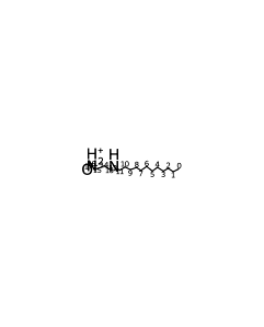 CCCCCCCCCCCCNCCC[NH2+][O-]